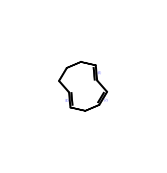 C1=C\C/C=C/CCC/C=C/1